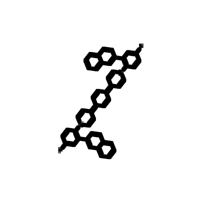 Fc1ccc(N2C=CC(=c3ccc(=C4C=CN(c5ccc(F)cc5-c5ccc6ccccc6c5)C=C4)cc3)C=C2)c(-c2ccc3ccccc3c2)c1